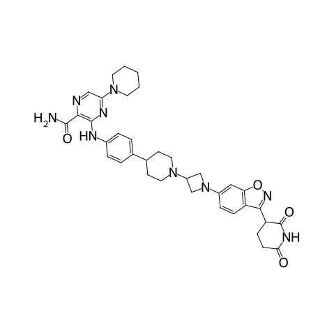 NC(=O)c1ncc(N2CCCCC2)nc1Nc1ccc(C2CCN(C3CN(c4ccc5c(C6CCC(=O)NC6=O)noc5c4)C3)CC2)cc1